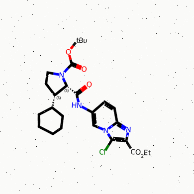 CCOC(=O)c1nc2ccc(NC(=O)[C@@H]3[C@H](C4CCCCC4)CCN3C(=O)OC(C)(C)C)cn2c1Cl